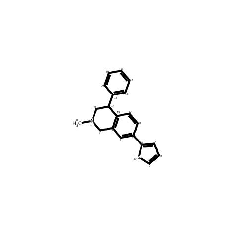 CN1Cc2cc(-c3cccs3)ccc2C(c2ccccc2)C1